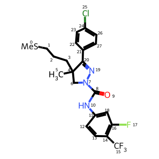 CSCCCC1(C)CN(C(=O)Nc2ccc(C(F)(F)F)c(F)c2)N=C1c1ccc(Cl)cc1